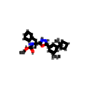 CC(C)(C)OC(=O)N[C@](C)(Cc1ccccc1)c1nnc(-c2cc(C(=O)O)cc(C3(C#N)CCCC3)c2)o1